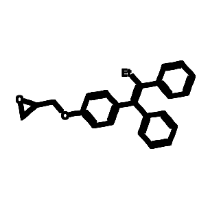 CCC(=C(c1ccccc1)c1ccc(OCC2CO2)cc1)c1ccccc1